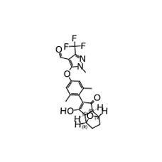 Cc1cc(Oc2c(C=O)c(C(F)(F)F)nn2C)cc(C)c1C1=C(O)[C@H]2[C@@H](C1=O)[C@@H]1CC[C@H]2O1